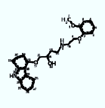 COc1ccccc1OCCNCCC(O)COc1cccc2[nH]c3ccccc3c12